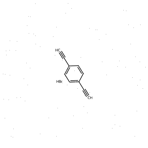 Br.C#Cc1ccc(C#C)cc1